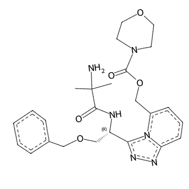 CC(C)(N)C(=O)N[C@@H](COCc1ccccc1)c1nnc2cccc(COC(=O)N3CCOCC3)n12